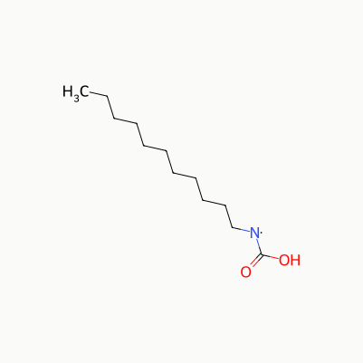 CCCCCCCCCCC[N]C(=O)O